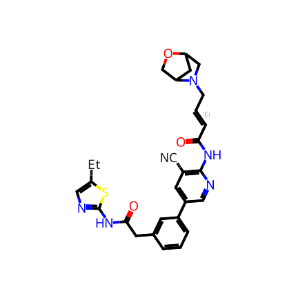 CCc1cnc(NC(=O)Cc2cccc(-c3cnc(NC(=O)/C=C/CN4CC5CC4CO5)c(C#N)c3)c2)s1